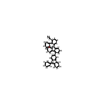 N#Cc1cccc(-n2c3ccccc3c3c(-c4ccc5c(c4)c4ccccc4n5-c4ccccc4)cccc32)c1-c1ccccc1